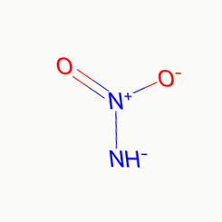 [NH-][N+](=O)[O-]